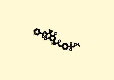 CCS(=O)(=O)c1ccc(CC(=O)Nc2cc(Cl)c(C3(c4noc(-c5cccnc5)n4)CC3)c(Cl)c2)cc1